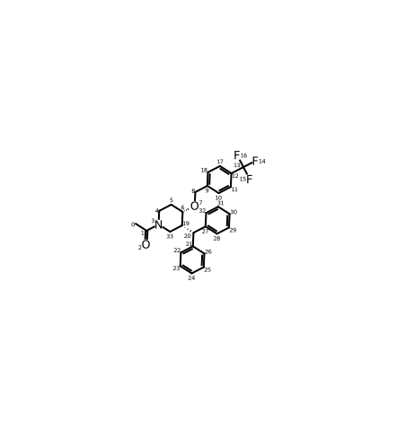 CC(=O)N1CC[C@H](OCc2ccc(C(F)(F)F)cc2)[C@H](C(c2ccccc2)c2ccccc2)C1